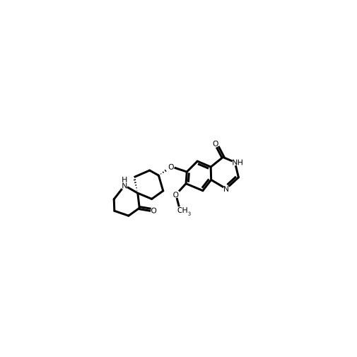 COc1cc2nc[nH]c(=O)c2cc1O[C@H]1CC[C@@]2(CC1)NCCCC2=O